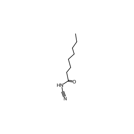 CCCCCCCC(=O)NC#N